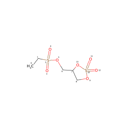 CCS(=O)(=O)OCC1COS(=O)(=O)O1